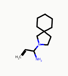 C=CC(N)N1CCC2(CCCCC2)C1